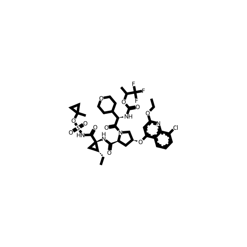 CCOc1cc(O[C@@H]2C[C@@H](C(=O)N[C@]3(C(=O)NS(=O)(=O)OC4(C)CC4)C[C@H]3CC)N(C(=O)[C@@H](NC(=O)OC(C)C(F)(F)F)C3CCOCC3)C2)c2cccc(Cl)c2n1